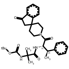 C[C@H](c1ccccc1)[C@H](NC(=O)C(C)(C)NC(=O)OC(C)(C)C)C(=O)N1CCC2(CC1)CC(=O)c1ccccc12